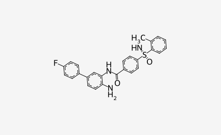 Cc1ccccc1S(=N)(=O)c1ccc(C(=O)Nc2cc(-c3ccc(F)cc3)ccc2N)cc1